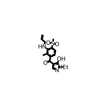 C=CCNc1c(S(C)(=O)=O)ccc(C(=O)c2cnn(CC)c2O)c1C